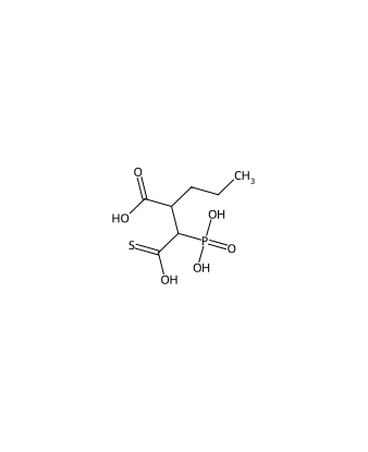 CCCC(C(=O)O)C(C(O)=S)P(=O)(O)O